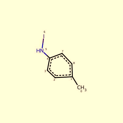 Cc1ccc(NI)cc1